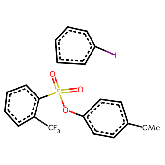 COc1ccc(OS(=O)(=O)c2ccccc2C(F)(F)F)cc1.Ic1ccccc1